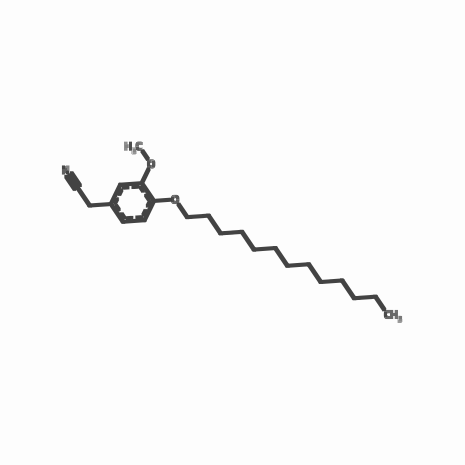 CCCCCCCCCCCCCOc1ccc(CC#N)cc1OC